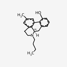 CCCCN1CCc2cc(C)cc3c2[C@H]1Cc1cccc(O)c1-3